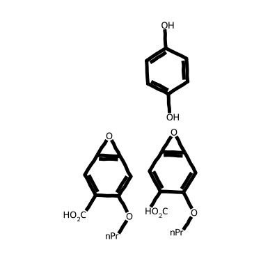 CCCOc1cc2c(cc1C(=O)O)O2.CCCOc1cc2c(cc1C(=O)O)O2.Oc1ccc(O)cc1